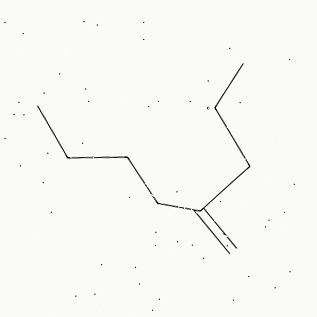 C=C(C[CH]C)CCCC